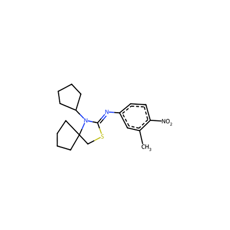 Cc1cc(N=C2SCC3(CCCC3)N2C2CCCC2)ccc1[N+](=O)[O-]